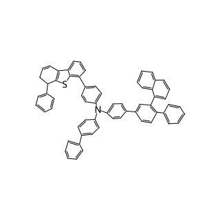 C1=Cc2c(sc3c(-c4ccc(N(c5ccc(-c6ccccc6)cc5)c5ccc(-c6ccc(-c7ccccc7)c(-c7cccc8ccccc78)c6)cc5)cc4)cccc23)C(c2ccccc2)C1